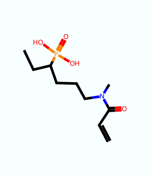 C=CC(=O)N(C)CCCC(CC)P(=O)(O)O